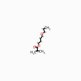 C=C(C)C(=O)OCCCCOCCC